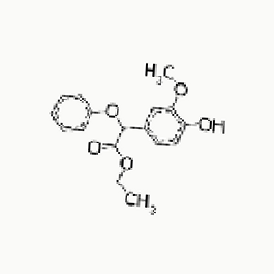 CCOC(=O)C(Oc1ccccc1)c1ccc(O)c(OC)c1